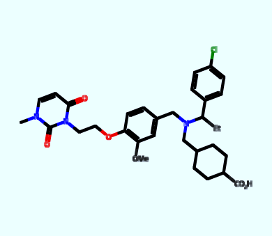 CCC(c1ccc(Cl)cc1)N(Cc1ccc(OCCn2c(=O)ccn(C)c2=O)c(OC)c1)CC1CCC(C(=O)O)CC1